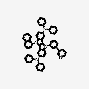 c1ccc(N(c2ccccc2)c2ccc3c(c2)c2c(c4cc(N(c5ccccc5)c5ccccc5)ccc4n2-c2cccc(-c4cccnc4)c2)n3-c2cccc3ccccc23)cc1